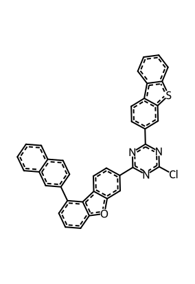 Clc1nc(-c2ccc3c(c2)oc2cccc(-c4ccc5ccccc5c4)c23)nc(-c2ccc3c(c2)sc2ccccc23)n1